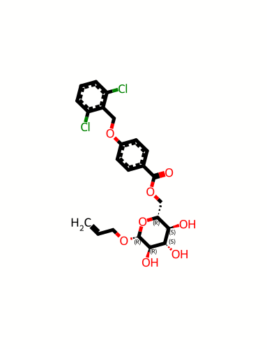 C=CCO[C@@H]1O[C@H](COC(=O)c2ccc(OCc3c(Cl)cccc3Cl)cc2)[C@@H](O)[C@H](O)[C@H]1O